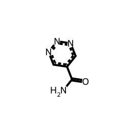 NC(=O)c1cnnnc1